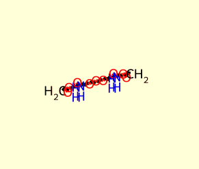 C=CC(=O)OCCNC(=O)NCCCOCCOCCOCCCNC(=O)NCCOC(=O)C=C